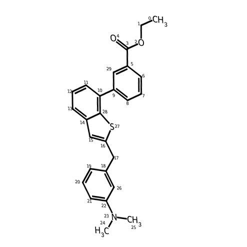 CCOC(=O)c1cccc(-c2cccc3cc(Cc4cccc(N(C)C)c4)sc23)c1